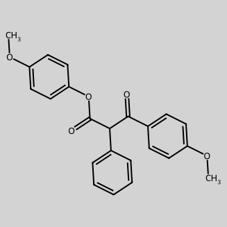 COc1ccc(OC(=O)C(C(=O)c2ccc(OC)cc2)c2ccccc2)cc1